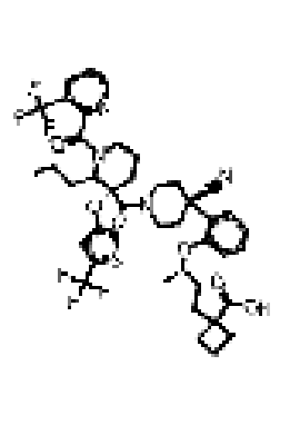 CCC[C@H]1N(C(=O)c2ncccc2C(F)(F)F)CCC[C@@]1(Oc1csc(C(F)(F)F)c1)C(=O)N1CCC(C#N)(c2ccccc2O[C@H](C)CCC2(C(=O)O)CCC2)CC1